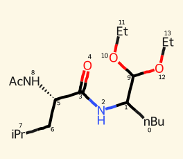 CCCCC(NC(=O)[C@H](CC(C)C)NC(C)=O)C(OCC)OCC